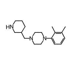 Cc1cccc(N2CCN(CC3CCCNC3)CC2)c1C